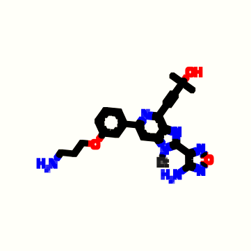 CCn1c(-c2nonc2N)nc2c(C#CC(C)(C)O)nc(-c3cccc(OCCCN)c3)cc21